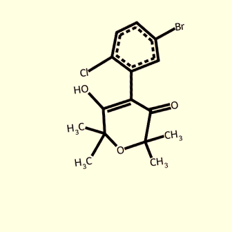 CC1(C)OC(C)(C)C(O)=C(c2cc(Br)ccc2Cl)C1=O